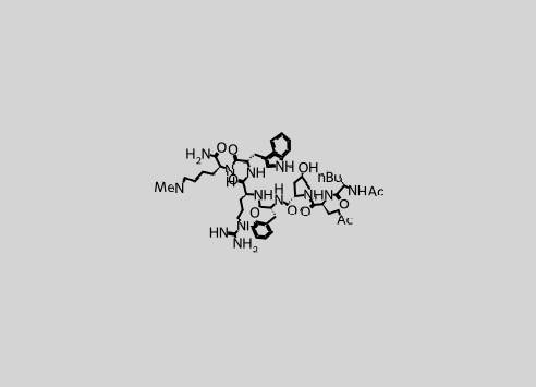 CCCC[C@H](NC(C)=O)C(=O)N[C@@H](CCC(C)=O)C(=O)N1C[C@H](O)C[C@H]1C(=O)N[C@H](Cc1ccccc1)C(=O)N[C@@H](CCCNC(=N)N)C(=O)N[C@@H](Cc1c[nH]c2ccccc12)C(=O)N[C@@H](CCCCNC)C(N)=O